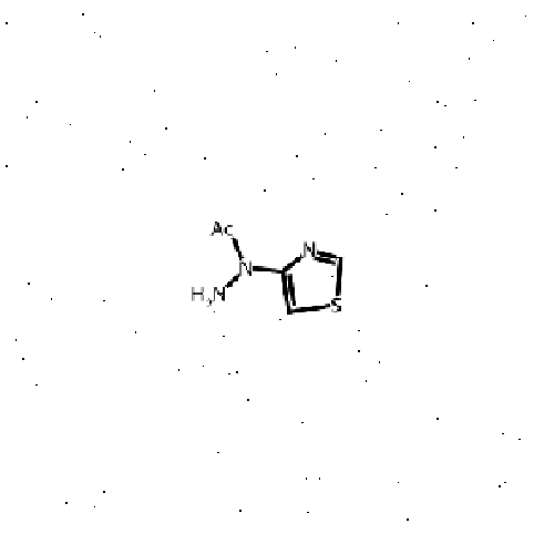 CC(=O)N(N)c1cscn1